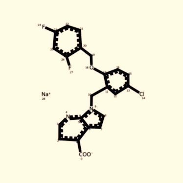 O=C([O-])c1ccnc2c1ccn2Cc1cc(Cl)ccc1OCc1ccc(F)cc1F.[Na+]